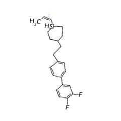 C/C=C\[SiH]1CCC(CCc2ccc(-c3ccc(F)c(F)c3)cc2)CC1